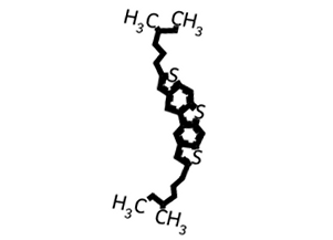 CCC(C)CCCc1cc2cc3c(cc2s1)sc1cc2sc(CCCC(C)CC)cc2cc13